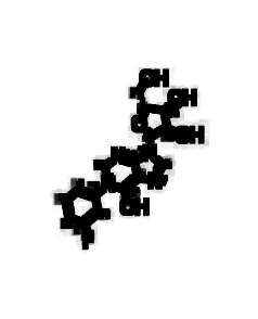 OC[C@H]1O[C@@H](n2cnc3c2=NCN(c2cccc(F)c2)C=3O)[C@H](O)[C@@H]1O